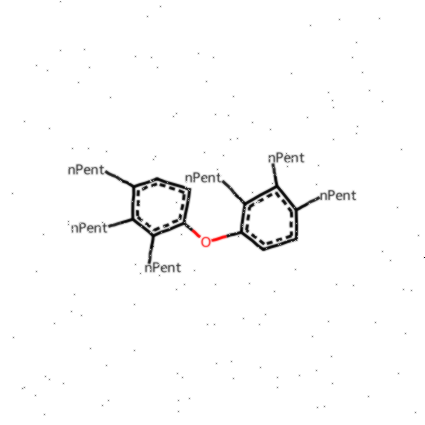 CCCCCc1ccc(Oc2ccc(CCCCC)c(CCCCC)c2CCCCC)c(CCCCC)c1CCCCC